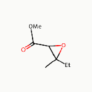 CCC1(C)OC1C(=O)OC